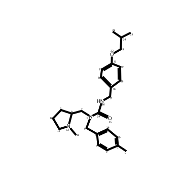 Cc1ccc(CN(CC2CCCN2C)C(=O)NCc2ccc(OCC(C)C)cc2)cc1